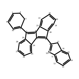 C1=CCCC(C2=C3C(=C(C4=Nc5ccccc5C4)c4ccccc43)c3ccccc32)=C1